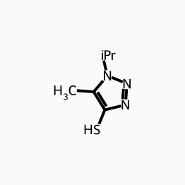 Cc1c(S)nnn1C(C)C